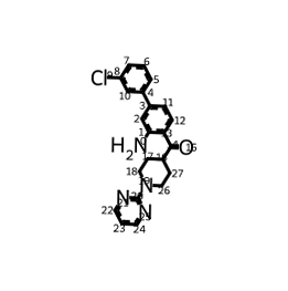 Nc1cc(-c2cccc(Cl)c2)ccc1C(=O)C1CCN(c2ncccn2)CC1